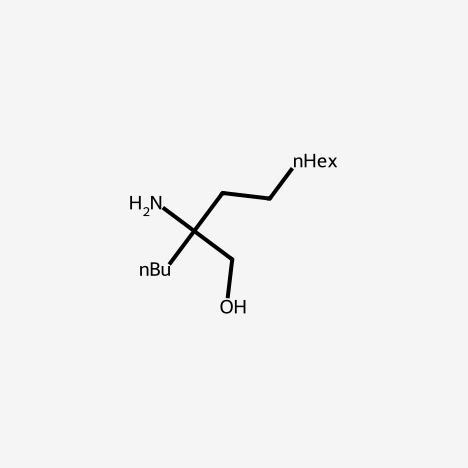 CCCCCCCCC(N)(CO)CCCC